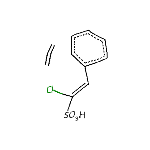 C=C.O=S(=O)(O)C(Cl)=Cc1ccccc1